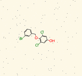 Oc1cc(Cl)c(OCc2cccc(Br)c2)c(Cl)c1